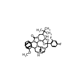 COc1ccccc1C1CNCCN1C1N(c2ccccc2)C(=O)N(CC(O)C(C)(C)C)N1C1COC(Cn2cncn2)(c2ccc(F)cc2F)O1